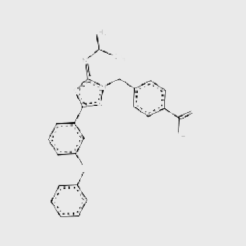 CC(C)N=c1sc(-c2cccc(Oc3ccccc3)c2)nn1Cc1ccc(C(=O)O)cc1